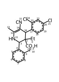 CCC1(C(=O)O)C(c2ccccc2F)NC(C)=C(C#N)C1c1ccc(Cl)cc1Cl